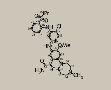 C=C(C(N)=O)c1cc(Nc2ncc(Cl)c(Nc3ccccc3S(=O)(=O)C(C)C)n2)c(OC)cc1N1CCCN(C)CC1